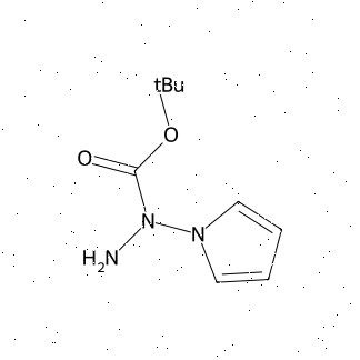 CC(C)(C)OC(=O)N(N)n1cccc1